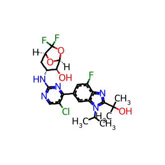 CC(C)n1c(C(C)(C)O)nc2c(F)cc(-c3nc(N[C@@H]4C[C@@H]5O[C@@H](OC5(F)F)[C@H]4O)ncc3Cl)cc21